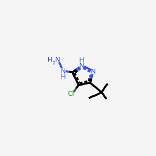 CC(C)(C)c1n[nH]c(NN)c1Cl